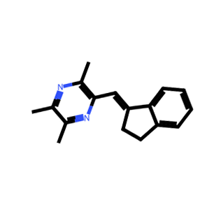 Cc1nc(C)c(C=C2CCc3ccccc32)nc1C